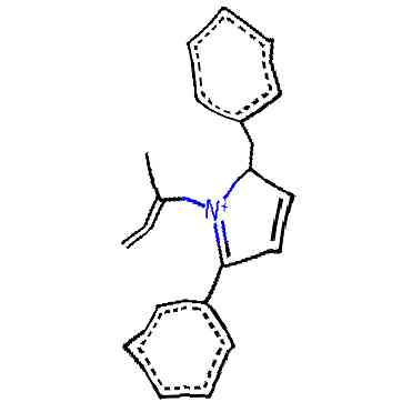 C=C(C)[N+]1=C(c2ccccc2)C=CC1c1ccccc1